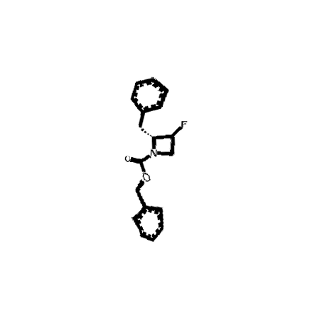 O=C(OCc1ccccc1)N1CC(F)[C@H]1Cc1ccccc1